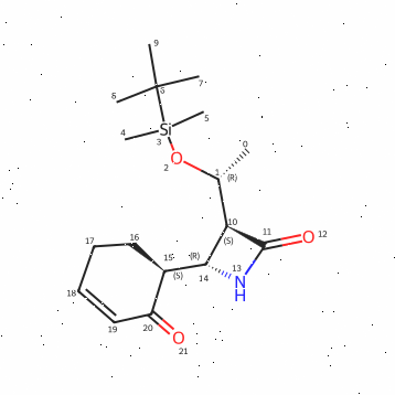 C[C@@H](O[Si](C)(C)C(C)(C)C)[C@H]1C(=O)N[C@@H]1[C@@H]1CCC=CC1=O